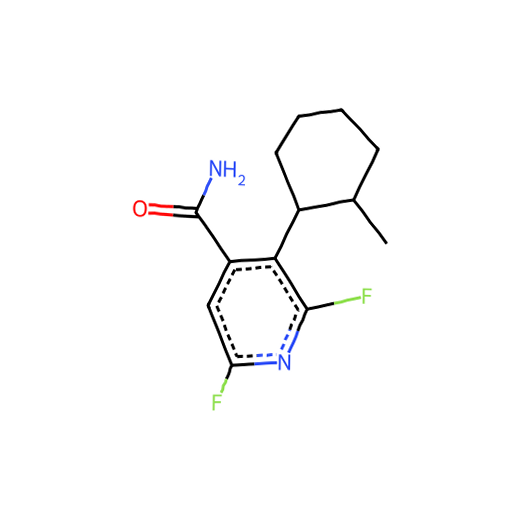 CC1CCCCC1c1c(C(N)=O)cc(F)nc1F